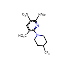 CNc1nc(N2CCC(C(F)(F)F)CC2)c(C(=O)O)cc1[N+](=O)[O-]